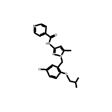 Cc1cc(NC(=O)c2ccncc2)nn1Cc1cc(Cl)ccc1OCC(C)C